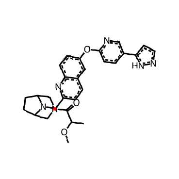 COC(C)C(=O)N1CC2CCC(C1)N2Cc1ccc2cc(Oc3ccc(-c4ccn[nH]4)cn3)ccc2n1